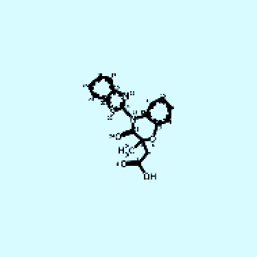 CC1(CC(=O)O)Oc2ccccc2N(c2nc3ccccc3s2)C1=O